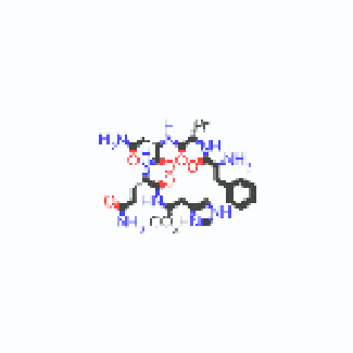 CC(C)[C@H](NC(=O)[C@@H](N)Cc1ccccc1)C(=O)N[C@@H](CC(N)=O)C(=O)N[C@@H](CCC(N)=O)C(=O)N[C@@H](Cc1c[nH]cn1)C(=O)O